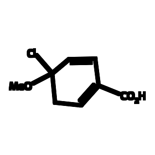 COC1(Cl)C=CC(C(=O)O)=CC1